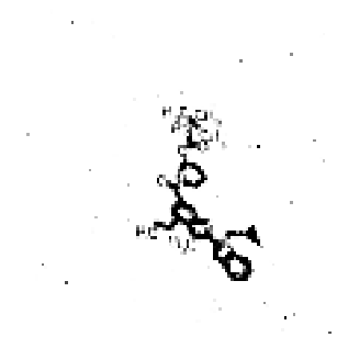 Cc1c(-c2cc3ccccc3n2CC2CC2)sc2cc(C(=O)N3CCC[C@@H](OC(=O)NC(C)(C)C)C3)cc(CCO)c12